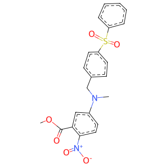 COC(=O)c1cc(N(C)Cc2ccc(S(=O)(=O)c3ccccc3)cc2)ccc1[N+](=O)[O-]